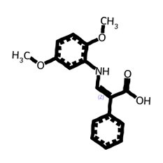 COc1ccc(OC)c(N/C=C(\C(=O)O)c2ccccc2)c1